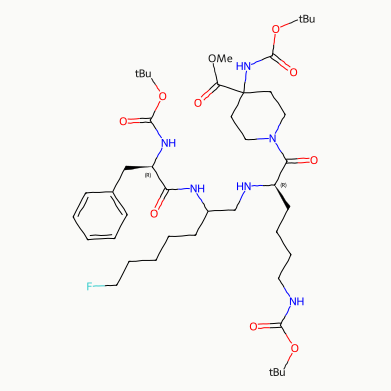 COC(=O)C1(NC(=O)OC(C)(C)C)CCN(C(=O)[C@@H](CCCCNC(=O)OC(C)(C)C)NCC(CCCCCF)NC(=O)[C@@H](Cc2ccccc2)NC(=O)OC(C)(C)C)CC1